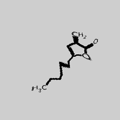 C=C1C=C(CCCCC)OC1=O